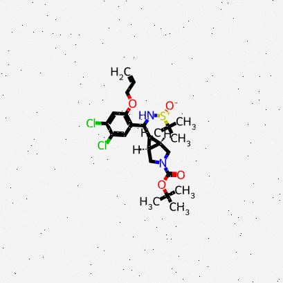 C=CCOc1cc(Cl)c(Cl)cc1C(N[S+]([O-])C(C)(C)C)C1[C@H]2CN(C(=O)OC(C)(C)C)C[C@@H]12